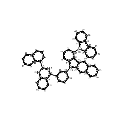 c1cc(-c2nc(-c3cccc4ccccc34)nc3ccccc23)cc(-n2c3cc4ccccc4cc3c3c(-n4c5ccccc5c5ccccc54)cccc32)c1